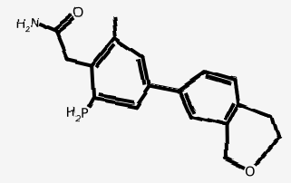 Cc1cc(-c2ccc3c(c2)COCC3)cc(P)c1CC(N)=O